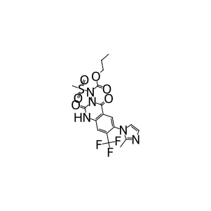 CCCOC(=O)N(n1c(=O)[nH]c2cc(C(F)(F)F)c(-n3ccnc3C)cc2c1=O)S(C)(=O)=O